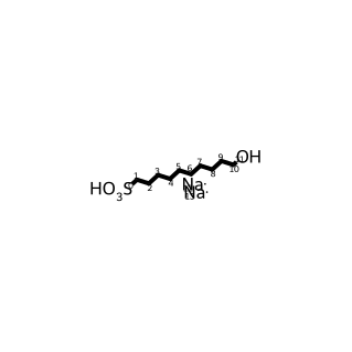 O=S(=O)(O)CCCCCCCCCCO.[Na].[Na]